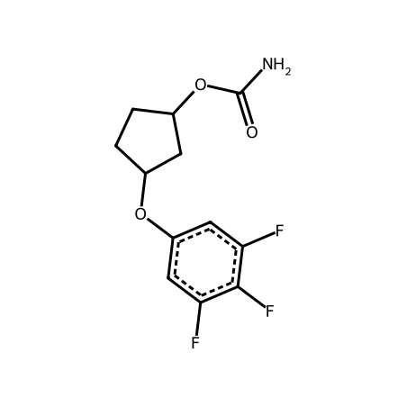 NC(=O)OC1CCC(Oc2cc(F)c(F)c(F)c2)C1